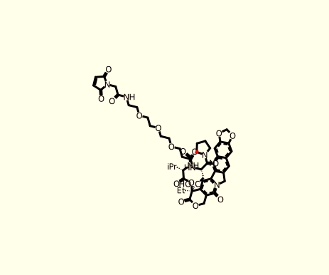 CC[C@@]1(OC(=O)[C@@H](NC(=O)[C@@H]2CCCN2C(=O)[C@H](CC(=O)O)NC(=O)CCOCCOCCOCCNC(=O)CN2C(=O)C=CC2=O)C(C)C)C(=O)OCc2c1cc1n(c2=O)Cc2cc3cc4c(cc3nc2-1)OCO4